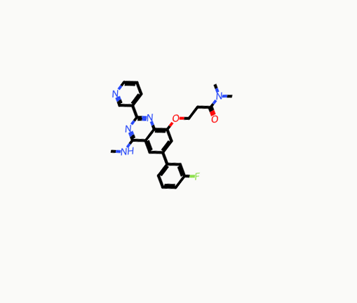 CNc1nc(-c2cccnc2)nc2c(OCCC(=O)N(C)C)cc(-c3cccc(F)c3)cc12